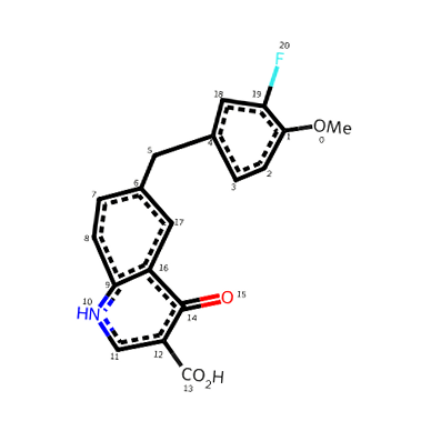 COc1ccc(Cc2ccc3[nH]cc(C(=O)O)c(=O)c3c2)cc1F